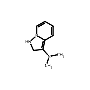 CN(C)C1=C2C=CC=CN2NC1